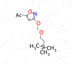 CC(=O)c1cc(OCOCC[Si](C)(C)C)no1